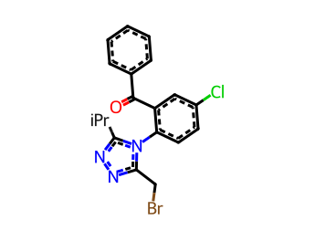 CC(C)c1nnc(CBr)n1-c1ccc(Cl)cc1C(=O)c1ccccc1